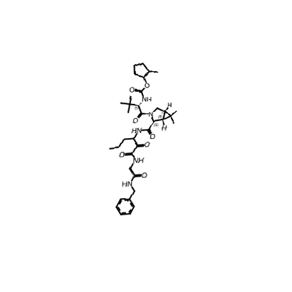 CCCC(NC(=O)[C@@H]1[C@@H]2[C@H](CN1C(=O)[C@@H](NC(=O)OC1CCCC1C)C(C)(C)C)C2(C)C)C(=O)C(=O)NCC(=O)NCc1ccccc1